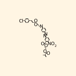 C=C(C)C(=O)OCCOC(=O)c1cc(N=Nc2ccc(N(C)CCOC(=O)C=Cc3ccc(Cl)cc3)cc2)ccc1[N+](=O)[O-]